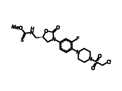 COC(=S)NC[C@H]1CN(c2ccc(N3CCN(S(=O)(=O)CCl)CC3)c(F)c2)C(=O)O1